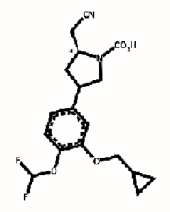 N#CC[C@@H]1CC(c2ccc(OC(F)F)c(OCC3CC3)c2)CN1C(=O)O